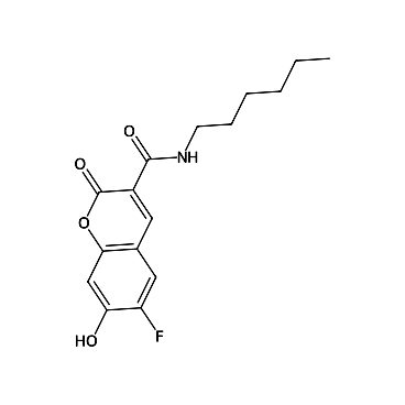 CCCCCCNC(=O)c1cc2cc(F)c(O)cc2oc1=O